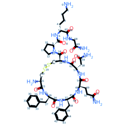 NCCCC[C@@H](NC(=O)[C@H]1CCCN1C(=O)[C@@H]1CSSC[C@H](N)C(=O)N[C@H](Cc2ccccc2)C(=O)N[C@H](Cc2ccccc2)C(=O)N[C@H](CCC(N)=O)C(=O)N[C@@H](CC(N)=O)C(=O)N1)C(=O)NCC(N)=O